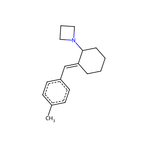 Cc1ccc(C=C2CCCCC2N2CCC2)cc1